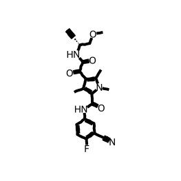 C#C[C@H](COC)NC(=O)C(=O)c1c(C)c(C(=O)Nc2ccc(F)c(C#N)c2)n(C)c1C